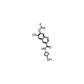 O=C(N[C@H]1C[C@H](O)C1)c1cnc2cc(OC(F)F)c(Cl)cc2c1